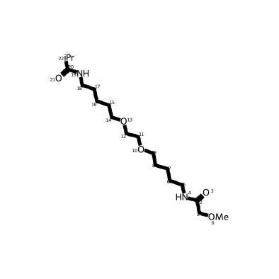 COCC(=O)NCCCCCOCCOCCCCCNC(=O)C(C)C